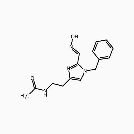 CC(=O)NCCc1cn(Cc2ccccc2)c(C=NO)n1